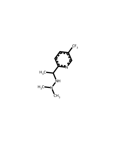 CC(NN(C)C)c1ccc(C(F)(F)F)cn1